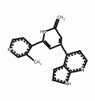 C=C1C=C(c2ccnc3[nH]ccc23)C=C(c2ccncc2C)N1